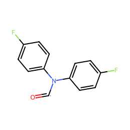 O=[C]N(c1ccc(F)cc1)c1ccc(F)cc1